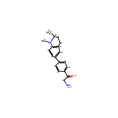 CC(=O)N1c2ccc(-c3ccc(C(=O)CN)cc3)cc2CCC1C